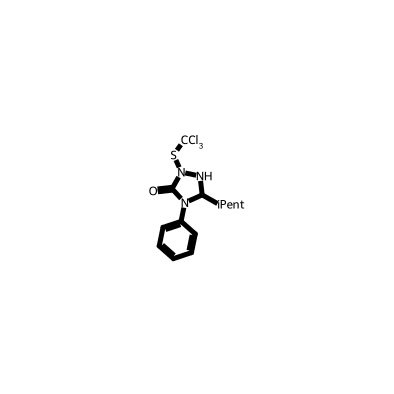 CCCC(C)C1NN(SC(Cl)(Cl)Cl)C(=O)N1c1ccccc1